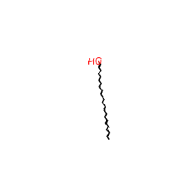 CCCCCCCCCCCCCCCCCCCCCC=CO